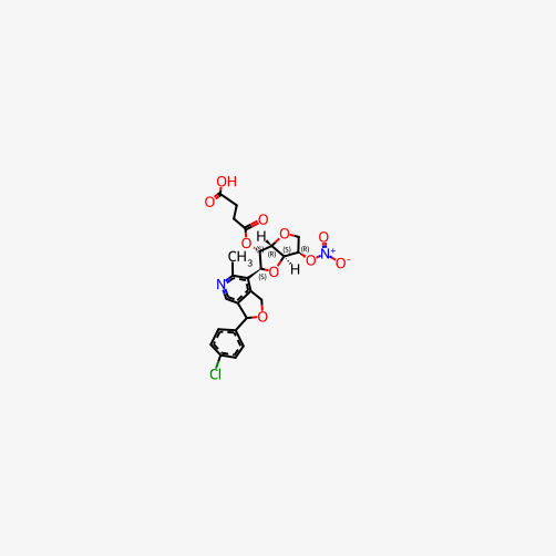 Cc1ncc2c(c1[C@@H]1O[C@H]3[C@@H](OC[C@H]3O[N+](=O)[O-])[C@H]1OC(=O)CCC(=O)O)COC2c1ccc(Cl)cc1